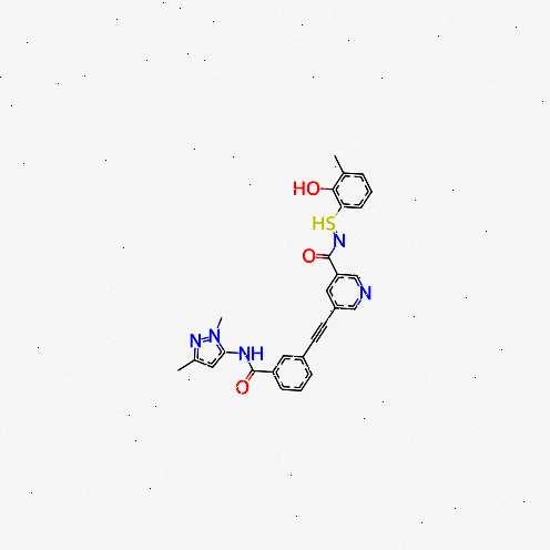 Cc1cc(NC(=O)c2cccc(C#Cc3cncc(C(=O)N=[SH]c4cccc(C)c4O)c3)c2)n(C)n1